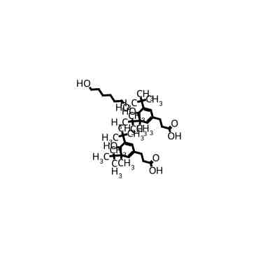 CC(C)(C)C1=CC(CCC(=O)O)=CC(C)(C(C)(C)C)C1O.CC(C)(C)C1=CC(CCC(=O)O)=CC(C)(C(C)(C)C)C1O.OCCCCCCO